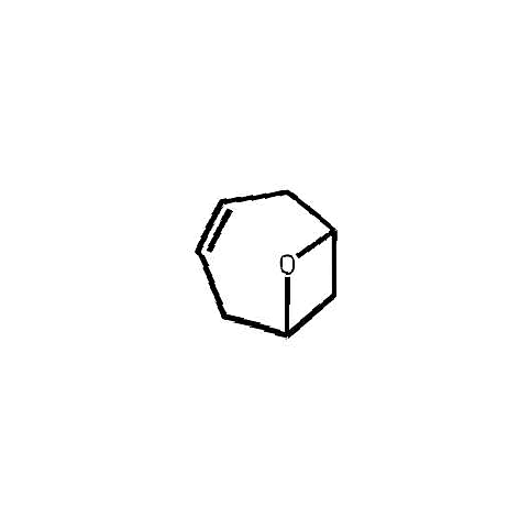 C1=CCC2CC(C1)O2